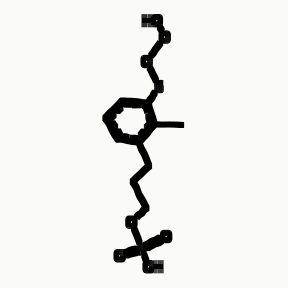 Cc1c(CCCOS(=O)(=O)O)cccc1SOOO